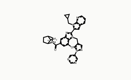 COc1cc(C(=O)N2CC3CCC2[C@@H]3N)cc2nc(-c3cc4cccnc4n3CC3CC3)n(Cc3cnn(-c4cncnc4)c3)c12